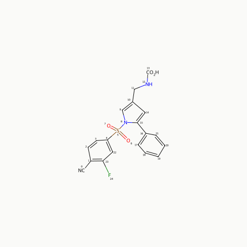 N#Cc1ccc(S(=O)(=O)n2cc(CNC(=O)O)cc2-c2ccccc2)cc1F